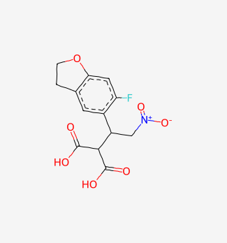 O=C(O)C(C(=O)O)C(C[N+](=O)[O-])c1cc2c(cc1F)OCC2